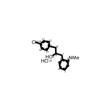 CNc1ccccc1CC(O)Cc1ccc(Cl)cc1.Cl